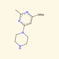 CNc1cc(N2CCNCC2)nc(C)n1